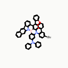 CC(C)(C)c1ccc(N2c3cc(N(c4ccccc4)c4ccccc4)ccc3B3c4c2cc2oc5ccccc5c2c4-c2cccc4c5cc6ccccc6cc5n3c24)c(-c2ccccc2)c1